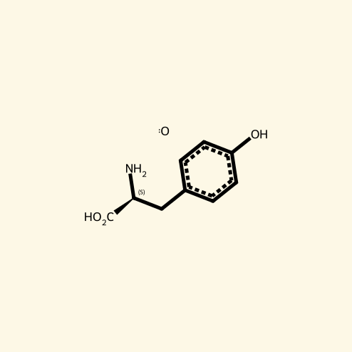 N[C@@H](Cc1ccc(O)cc1)C(=O)O.[O]